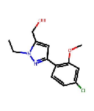 CCn1nc(-c2ccc(Cl)cc2OC)cc1CO